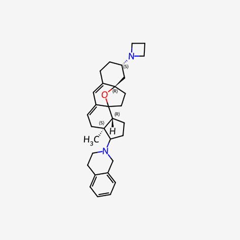 C[C@]12CC=C3C=C4CC[C@H](N5CCC5)C[C@]45CCC3(O5)[C@@H]1CCC2N1CCc2ccccc2C1